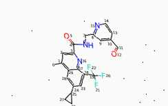 Cc1cc(C(=O)NCc2cc(C=O)ccn2)nc2c(C(F)(F)F)cc(C3CC3)cc12